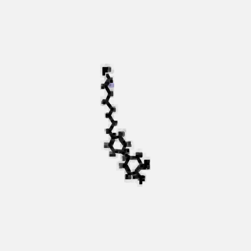 F/C=C/CCCCCCc1ccc(-c2ccc(F)c(F)c2)cc1